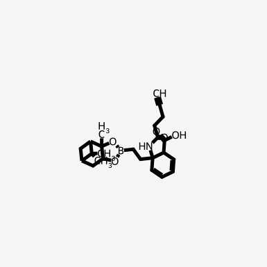 C#CCCC(=O)NC1(CCB2OC3CC4CC(C4(C)C)C3(C)O2)C=CC=CC1C(=O)O